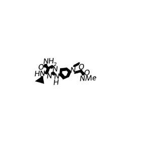 CNC(=O)C1CN(c2ccc(Nc3ncc(C(N)=O)c(NC4CC4)n3)cc2)CCO1